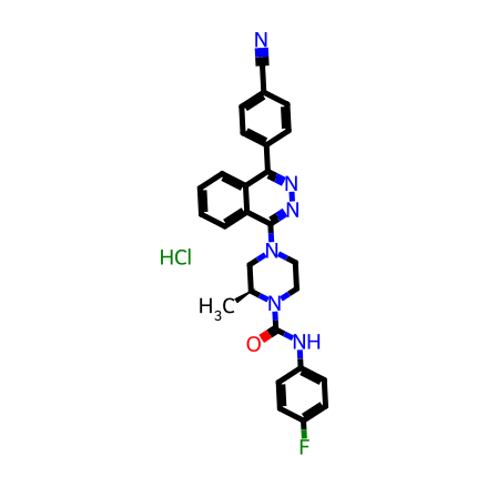 C[C@H]1CN(c2nnc(-c3ccc(C#N)cc3)c3ccccc23)CCN1C(=O)Nc1ccc(F)cc1.Cl